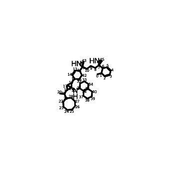 CC1C=CC=CC1C1(CCCC2(C3C=CC(C4C5C(C(C)C6CCCCCCC6)[C@]45NC4CCCC5=C4CCCC5)CC3)CN2)CN1